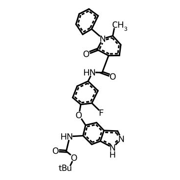 Cc1ccc(C(=O)Nc2ccc(Oc3cc4cn[nH]c4cc3NC(=O)OC(C)(C)C)c(F)c2)c(=O)n1-c1ccccc1